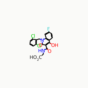 O=C(O)CNC(=O)c1c(O)c2ccc(F)cc2n(Cc2c(Cl)cccc2Cl)c1=O